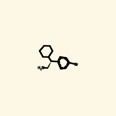 NC[C@@H](c1ccc(Br)cc1)C1CCCCC1